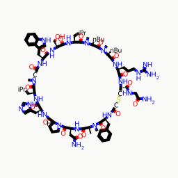 CCCC[C@H]1C(=O)N(C)[C@@H](CCCC)C(=O)N[C@@H](CCCNC(=N)N)C(=O)N[C@H](C(=O)NCC(N)=O)CSCC(=O)N[C@@H](Cc2ccccc2)C(=O)N(C)[C@@H](C)C(=O)N[C@@H](CC(N)=O)C(=O)N2CCC[C@H]2C(=O)N[C@@H](Cc2cnc[nH]2)C(=O)N[C@@H](CC(C)C)C(=O)N(C)CC(=O)N[C@@H](Cc2c[nH]c3ccccc23)C(=O)N[C@@H](CO)C(=O)N[C@@H](CC(C)C)C(=O)N1C